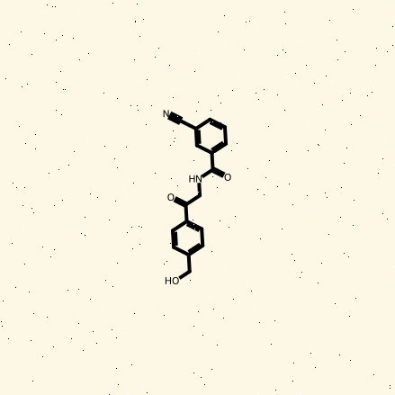 N#Cc1cccc(C(=O)NCC(=O)c2ccc(CO)cc2)c1